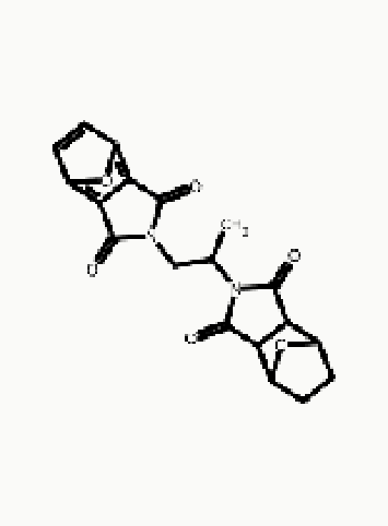 CC(CN1C(=O)c2c(c3ccc2o3)C1=O)N1C(=O)C2C3CCC(O3)C2C1=O